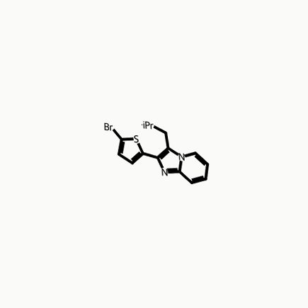 C[C](C)Cc1c(-c2ccc(Br)s2)nc2ccccn12